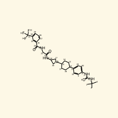 CC(C)(C)NC(=O)Nc1ccc(C2CCC(N3CC(NC(=O)CNC(=O)c4cccc(C(F)(F)F)c4)C3)CC2)cc1